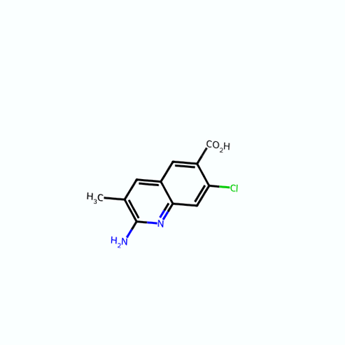 Cc1cc2cc(C(=O)O)c(Cl)cc2nc1N